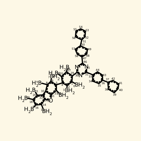 Bc1c(B)c(-c2c(B)c(B)c3c(oc4c(B)c(B)c(B)c(B)c43)c2B)c(B)c(B)c1-c1nc(-c2ccc(-c3ccccc3)cc2)nc(-c2ccc(-c3ccccc3)cc2)n1